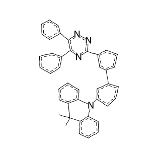 CC1(C)c2ccccc2N(c2cccc(-c3cccc(-c4nnc(-c5ccccc5)c(-c5ccccc5)n4)c3)c2)c2ccccc21